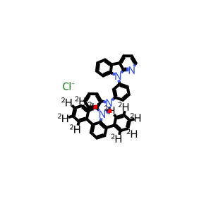 [2H]c1c([2H])c([2H])c(-c2cccc(-c3c([2H])c([2H])c([2H])c([2H])c3[2H])c2-[n+]2cn(-c3cccc(-n4c5ccccc5c5cccnc54)c3)c3ccccc32)c([2H])c1[2H].[Cl-]